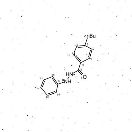 CCCCc1ccc(C(=O)NNc2ccccc2)nc1